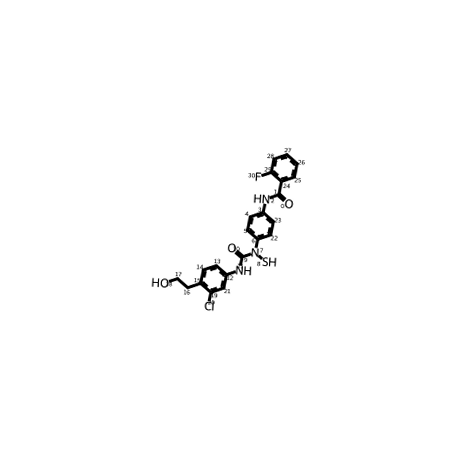 O=C(Nc1ccc(N(S)C(=O)Nc2ccc(CCO)c(Cl)c2)cc1)c1ccccc1F